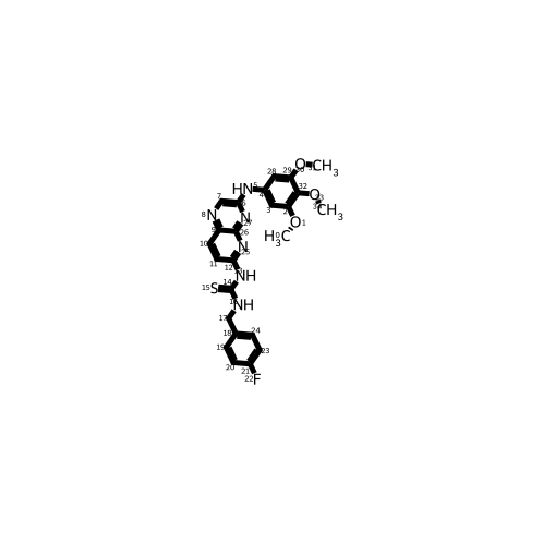 COc1cc(Nc2cnc3ccc(NC(=S)NCc4ccc(F)cc4)nc3n2)cc(OC)c1OC